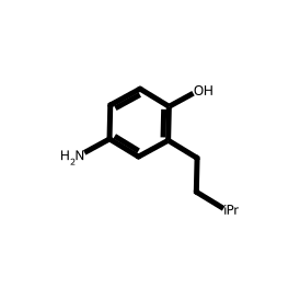 CC(C)CCc1cc(N)ccc1O